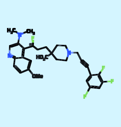 COc1ccc2ncc(N(C)C)c([C@@H](F)CCC3(C(=O)O)CCN(CC#Cc4cc(F)cc(F)c4F)CC3)c2c1